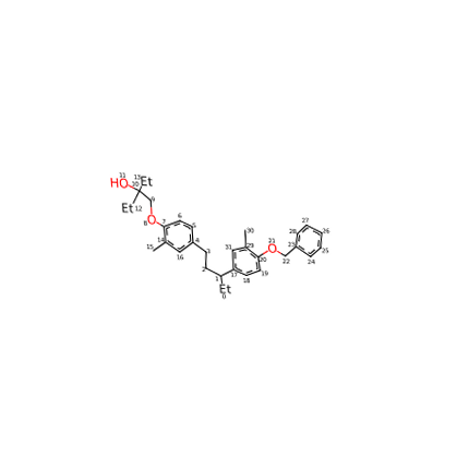 CCC(CCc1ccc(OCC(O)(CC)CC)c(C)c1)c1ccc(OCc2ccccc2)c(C)c1